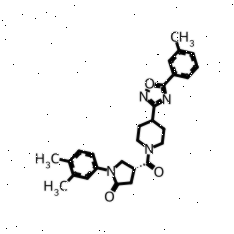 Cc1cccc(-c2nc(C3CCN(C(=O)[C@@H]4CC(=O)N(c5ccc(C)c(C)c5)C4)CC3)no2)c1